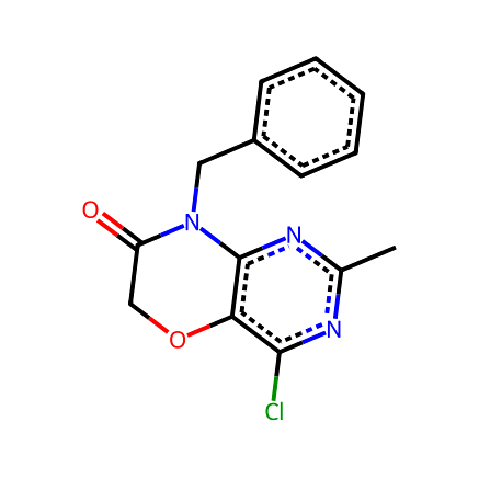 Cc1nc(Cl)c2c(n1)N(Cc1ccccc1)C(=O)CO2